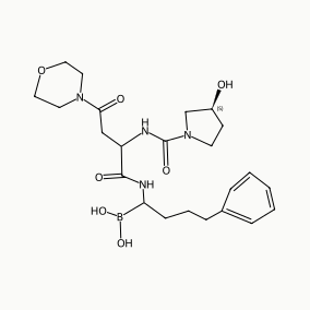 O=C(NC(CCCc1ccccc1)B(O)O)C(CC(=O)N1CCOCC1)NC(=O)N1CC[C@H](O)C1